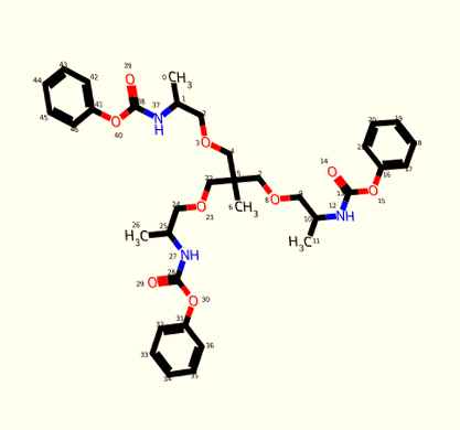 CC(COCC(C)(COCC(C)NC(=O)Oc1ccccc1)COCC(C)NC(=O)Oc1ccccc1)NC(=O)Oc1ccccc1